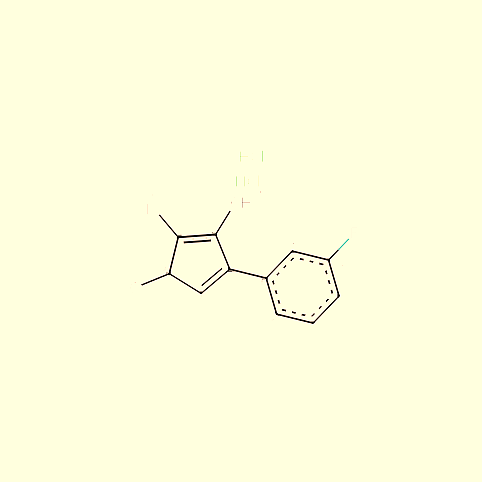 CC1=[C]([Hf])C(C)C=C1c1cccc(F)c1.Cl.Cl